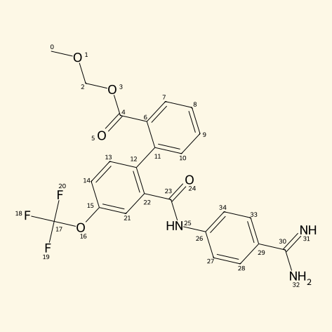 COCOC(=O)c1ccccc1-c1ccc(OC(F)(F)F)cc1C(=O)Nc1ccc(C(=N)N)cc1